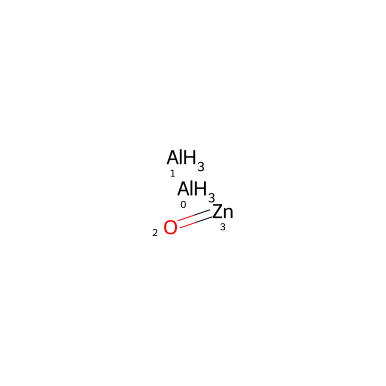 [AlH3].[AlH3].[O]=[Zn]